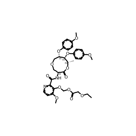 CCOCC(=O)OCOc1c(OC)ccnc1C(=O)N[C@H]1COC[C@H](Oc2ccc(OC)cc2)[C@@H](Oc2ccc(OC)cc2)[C@H](C)OC1=O